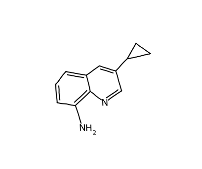 Nc1cccc2cc(C3CC3)cnc12